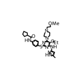 CCOc1c(Nc2cc(C)[nH]n2)nc(Sc2ccc(NC(=O)C3CCCC3)cc2)nc1N1CCN(CCOC)CC1